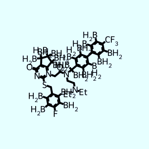 Bc1c(B)c(CSc2nc(=O)c3c(n2CC(=O)N(CCN(CC)CC)C(B)(B)c2c(B)c(B)c(-c4c(B)c(B)c(C(F)(F)F)c(B)c4B)c(B)c2B)C(B)(B)C(B)(B)C3(B)B)c(B)c(B)c1F